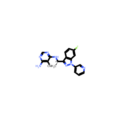 C[C@H](Nc1ncnc(N)c1C#N)c1nn(-c2cccnc2)c2cc(F)ccc12